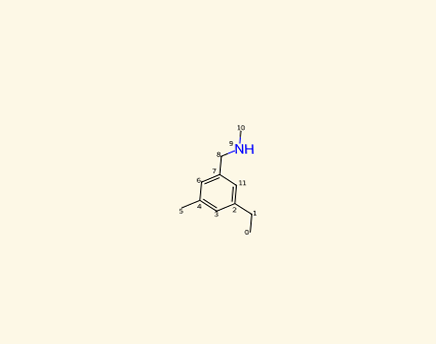 CCc1cc(C)cc(CNC)c1